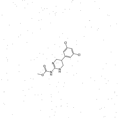 COC(=O)NC1=NCC(c2cc(Cl)cc(Cl)c2)CN1